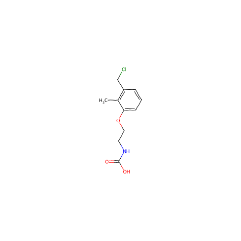 Cc1c(CCl)cccc1OCCNC(=O)O